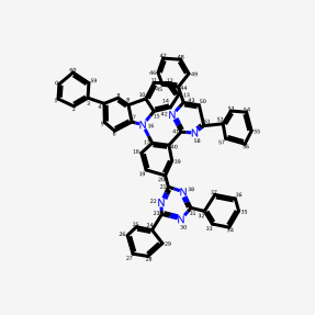 c1ccc(-c2ccc3c(c2)c2ccccc2n3-c2ccc(-c3nc(-c4ccccc4)nc(-c4ccccc4)n3)cc2-c2nc(-c3ccccc3)cc(-c3ccccc3)n2)cc1